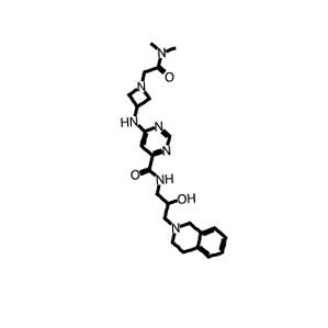 CN(C)C(=O)CN1CC(Nc2cc(C(=O)NCC(O)CN3CCc4ccccc4C3)ncn2)C1